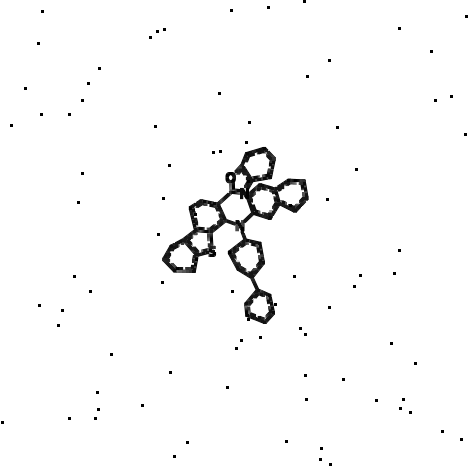 c1ccc(-c2ccc(N(c3ccc4ccccc4c3)c3c(-c4nc5ccccc5o4)ccc4c3sc3ccccc34)cc2)cc1